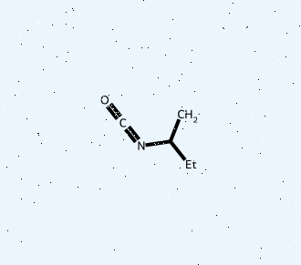 [CH2]C(CC)N=C=O